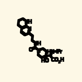 CC(C)NC(C(=O)O)C1(O)CCN(C(=O)NCCc2ccc3c(n2)NCCC3)CC1